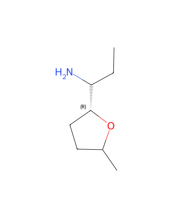 CCC(N)[C@H]1CCC(C)O1